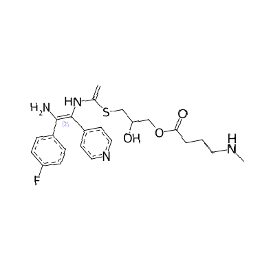 C=C(N/C(=C(\N)c1ccc(F)cc1)c1ccncc1)SCC(O)COC(=O)CCCNC